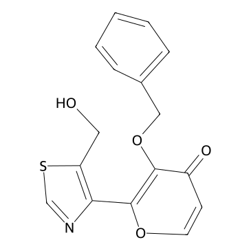 O=c1ccoc(-c2ncsc2CO)c1OCc1ccccc1